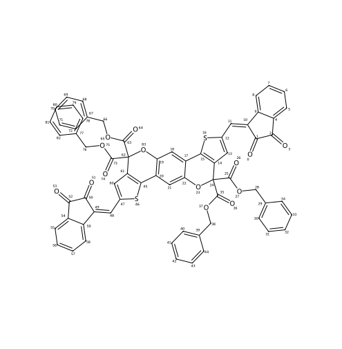 O=C1C(=O)c2ccccc2/C1=C/c1cc2c(s1)-c1cc3c(cc1OC2(C(=O)OCc1ccccc1)C(=O)OCc1ccccc1)-c1sc(/C=C2\C(=O)C(=O)c4ccccc42)cc1C(C(=O)OCc1ccccc1)(C(=O)OCc1ccccc1)O3